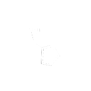 O=C(O)Sc1ccco1